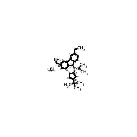 C=Cc1ccc2c(c1)-c1cc(C=C)ccc1[CH]2[Zr+2]([C]1=CC(C(C)(C)C)=CC1)=[C](C)C.[Cl-].[Cl-]